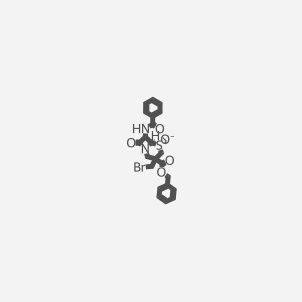 O=C(NC1C(=O)N2CC(CBr)(C(=O)OCc3ccccc3)C[S+]([O-])[C@H]12)c1ccccc1